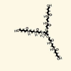 NC(COCCC(=O)NCCCNC(=O)CCCCO)(COCCC(=O)NCCCNC(=O)CCCCO)COCCC(=O)NCCCNC(=O)CCCCO